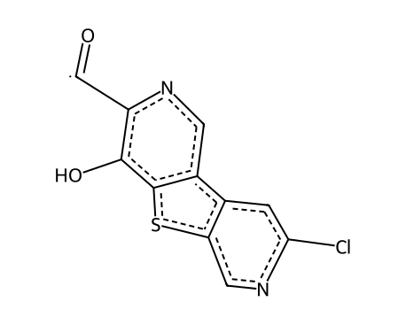 O=[C]c1ncc2c(sc3cnc(Cl)cc32)c1O